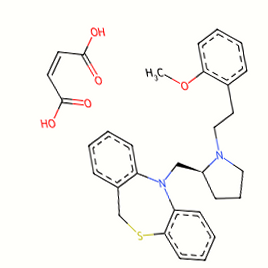 COc1ccccc1CCN1CCC[C@H]1CN1c2ccccc2CSc2ccccc21.O=C(O)/C=C\C(=O)O